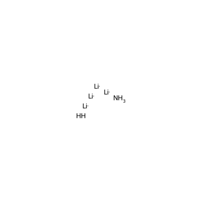 N.[HH].[Li].[Li].[Li].[Li]